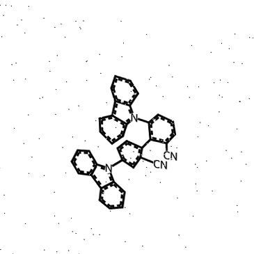 N#Cc1cc(-n2c3ccccc3c3ccccc32)ccc1-c1c(C#N)cccc1-n1c2ccccc2c2ccccc21